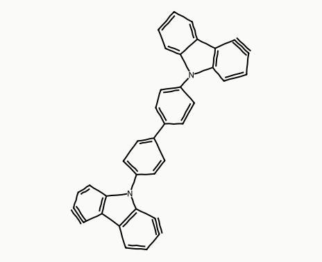 c1ccc2c3c#cccc3n(-c3ccc(-c4ccc(-n5c6ccc#cc6c6ccccc65)cc4)cc3)c2c#1